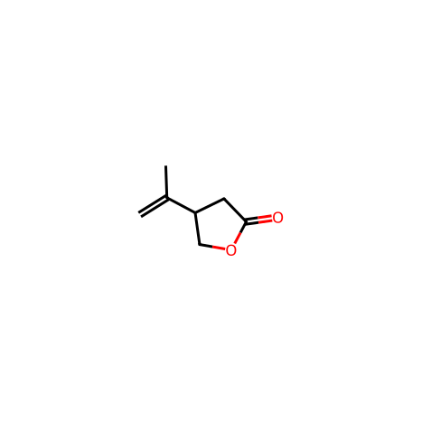 C=C(C)C1COC(=O)C1